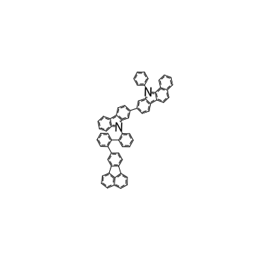 c1ccc(-n2c3cc(-c4ccc5c6ccccc6n(-c6ccccc6-c6ccccc6-c6ccc7c(c6)-c6cccc8cccc-7c68)c5c4)ccc3c3ccc4ccccc4c32)cc1